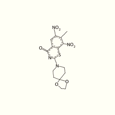 Cc1c([N+](=O)[O-])cc2c(=O)nc(N3CCC4(CC3)OCCO4)sc2c1[N+](=O)[O-]